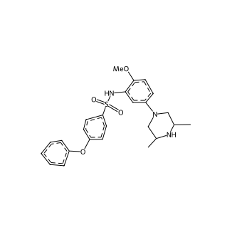 COc1ccc(N2CC(C)NC(C)C2)cc1NS(=O)(=O)c1ccc(Oc2ccccc2)cc1